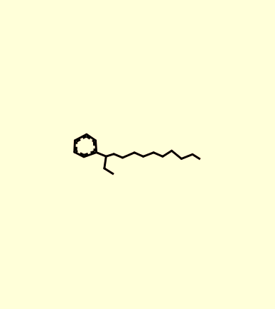 CCCCCCCCCCC(CC)c1ccccc1